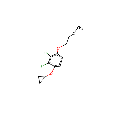 CCCCOc1ccc(OC2CC2)c(F)c1F